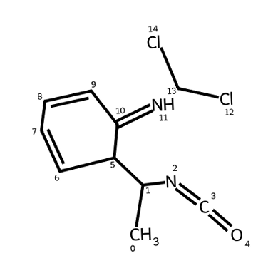 CC(N=C=O)C1C=CC=CC1=N.ClCCl